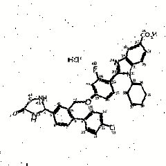 Cl.O=C1NC(c2ccc(-c3ccc(Cl)cc3)c(COc3ccc(-c4nc5cc(C(=O)O)ccc5n4C4CCCCC4)c(F)c3)c2)NS1